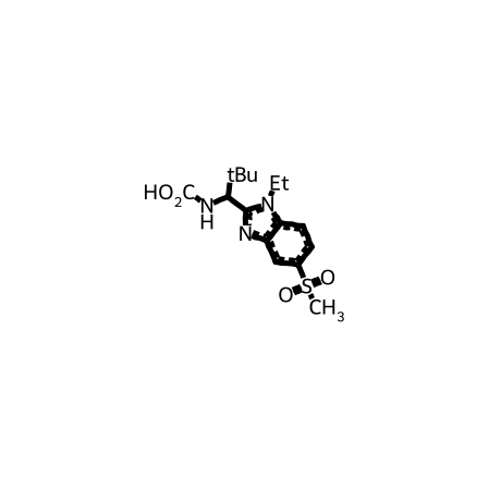 CCn1c(C(NC(=O)O)C(C)(C)C)nc2cc(S(C)(=O)=O)ccc21